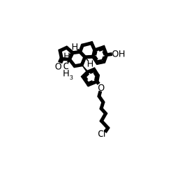 C[C@]12C[C@H](c3ccc(OCCCCCCCl)cc3)[C@@H]3c4ccc(O)cc4CC[C@H]3[C@@H]1CCC2=O